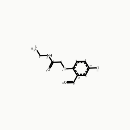 CCNC(=O)COc1ccc(Cl)cc1C=O